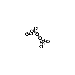 c1ccc(-c2nc(-c3ccccc3)nc(-c3ccc(-c4ccc(-n5c6ccccc6c6ccc7c(ccn7-c7ccccc7)c65)cc4)cc3)n2)cc1